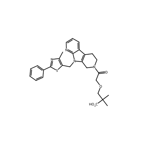 Cc1nc(-c2ccccc2)sc1Cn1c2c(c3cccnc31)CCN(C(=O)COCC(C)(C)C(=O)O)C2